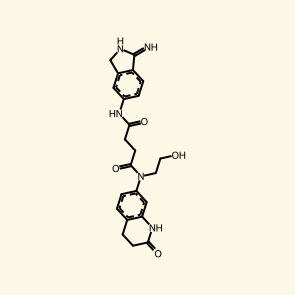 N=C1NCc2cc(NC(=O)CCC(=O)N(CCO)c3ccc4c(c3)NC(=O)CC4)ccc21